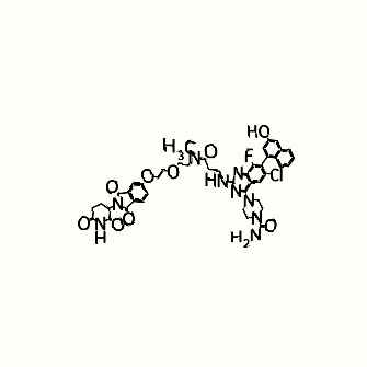 CN(CCOCCOc1ccc2c(c1)C(=O)N(C1CCC(=O)NC1=O)C2=O)C(=O)CCNc1nc(N2CCN(C(N)=O)CC2)c2cc(Cl)c(-c3cc(O)cc4ccccc34)c(F)c2n1